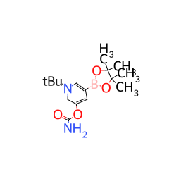 CC(C)(C)N1C=C(B2OC(C)(C)C(C)(C)O2)C=C(OC(N)=O)C1